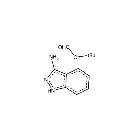 CC(C)(C)OC=O.Nc1n[nH]c2ccccc12